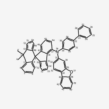 CC1(C)c2ccccc2C2(c3ccccc3-c3c(N(c4ccc(-c5ccccc5)cc4)c4ccc5c(c4)oc4ccccc45)cccc32)c2ccccc21